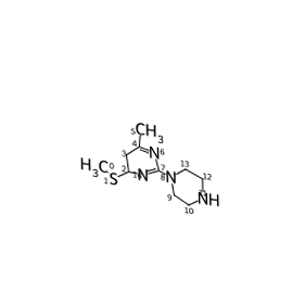 CSC1CC(C)=NC(N2CCNCC2)=N1